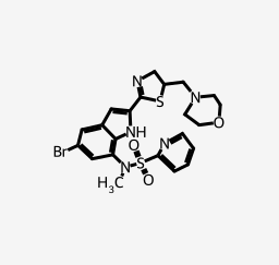 CN(c1cc(Br)cc2cc(C3=NCC(CN4CCOCC4)S3)[nH]c12)S(=O)(=O)c1ccccn1